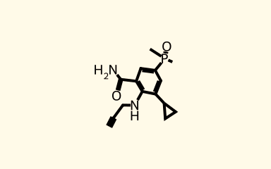 C#CCNc1c(C(N)=O)cc(P(C)(C)=O)cc1C1CC1